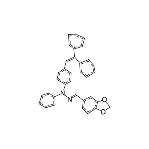 C(=C(c1ccccc1)c1ccccc1)c1ccc(N(/N=C/c2ccc3c(c2)OCO3)c2ccccc2)cc1